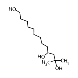 CC(C)(O)CC(O)CCCCCCCCCO